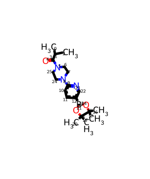 CC(C)C(=O)N1CCN(c2ccc(B3OC(C)(C)C(C)(C)O3)cn2)CC1